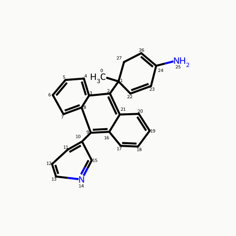 CC1(c2c3ccccc3c(-c3cccnc3)c3ccccc23)C=CC(N)=CC1